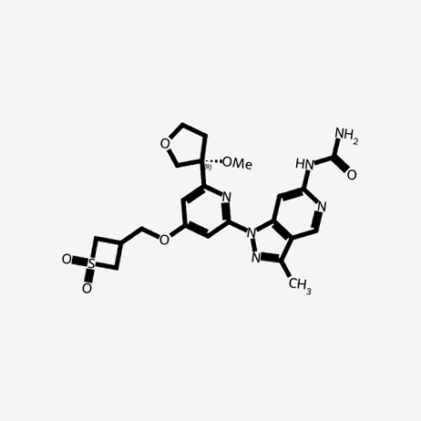 CO[C@@]1(c2cc(OCC3CS(=O)(=O)C3)cc(-n3nc(C)c4cnc(NC(N)=O)cc43)n2)CCOC1